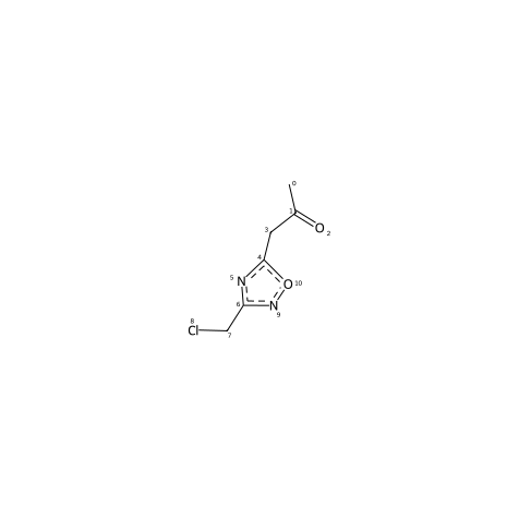 CC(=O)Cc1nc(CCl)no1